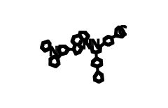 c1ccc(-c2ccc(-c3cc(-c4ccc(-c5ccccc5)cc4)nc(-n4c5cccc6ccc7c(-c8ccc9c(c8)c8ccccc8n9-c8ccccc8)ccc4c7c65)c3)cc2)cc1